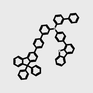 c1ccc(-c2cccc(N(c3ccc(-c4cccc5c4oc4ccccc45)cc3)c3cccc(-c4ccc(-c5ccc6c(c5)-c5ccccc5C6(c5ccccc5)c5ccccc5)cc4)c3)c2)cc1